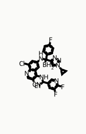 BC(Nc1cc(Cl)c2ncc(C#N)c(NC(CC)c3cnc(F)c(F)c3)c2c1)(c1ccc(F)cc1)c1cn(C2CC2)nn1